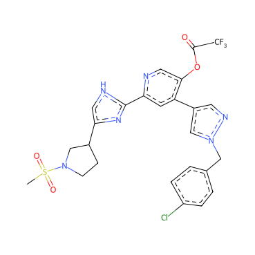 CS(=O)(=O)N1CCC(c2c[nH]c(-c3cc(-c4cnn(Cc5ccc(Cl)cc5)c4)c(OC(=O)C(F)(F)F)cn3)n2)C1